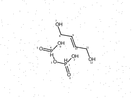 O=[PH](O)O[PH](=O)O.OCC=CCO